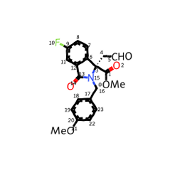 COC(=O)[C@]1(CC=O)c2ccc(F)cc2C(=O)N1Cc1ccc(OC)cc1